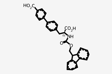 O=C(N[C@@H](Cc1ccc(-c2ccc(C(=O)O)cc2)cc1)C(=O)O)OCC1c2ccccc2-c2ccccc21